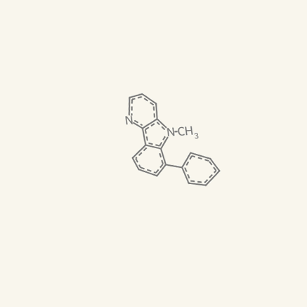 Cn1c2cccnc2c2cccc(-c3ccccc3)c21